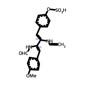 C=CNC(=C\c1ccc(OS(=O)(=O)O)cc1)/C(=C/c1ccc(OC)cc1)NC=O